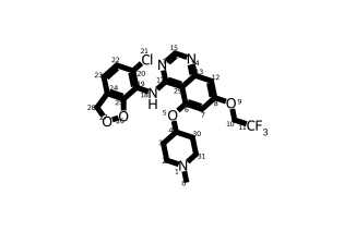 CN1CCC(Oc2cc(OCC(F)(F)F)cc3ncnc(Nc4c(Cl)ccc5c4OOC5)c23)CC1